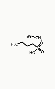 CCCC.CCCCS(=O)(=O)O